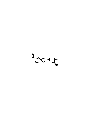 C=CC(=O)N1COC2(C1)CN(C(=O)N(C)C(C(N)=O)C(C)C)C2